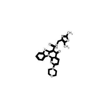 Cc1nc(CNC(=O)c2c(=O)c3ccc(N4CCOCC4)nc3n3c2sc2ccccc23)c(C)o1